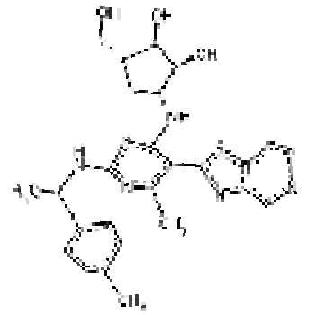 Cc1ccc([C@@H](C)Nc2nc(C)c(-c3nc4cnccc4s3)c(N[C@@H]3C[C@H](CO)[C@@H](O)[C@H]3O)n2)cc1